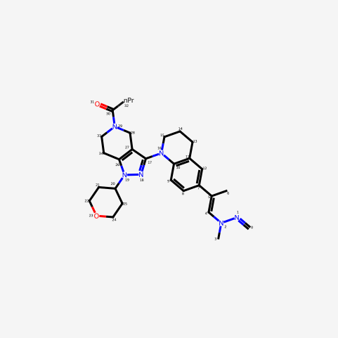 C=NN(C)/C=C(\C)c1ccc2c(c1)CCCN2c1nn(C2CCOCC2)c2c1CN(C(=O)CCC)CC2